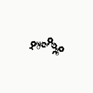 CCC(=O)N(c1ccccc1)C1CCN(c2ccccc2CN2CCN(C(=O)Nc3cccc(C(C)C)c3)CC2)CC1